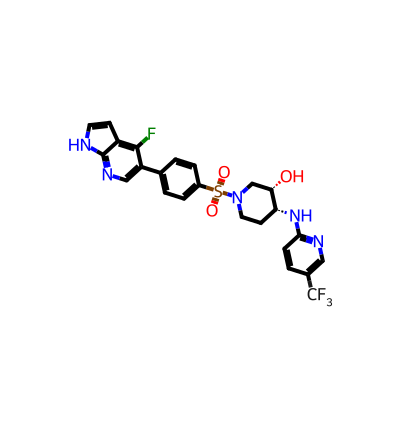 O=S(=O)(c1ccc(-c2cnc3[nH]ccc3c2F)cc1)N1CC[C@@H](Nc2ccc(C(F)(F)F)cn2)[C@@H](O)C1